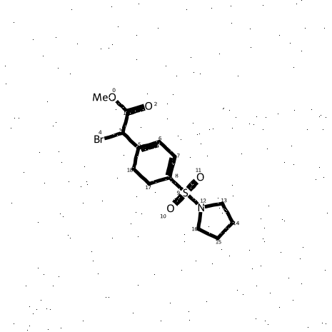 COC(=O)C(Br)C1=CC=C(S(=O)(=O)N2CCCC2)CC1